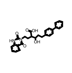 O=C(O)C(CCn1c(=O)[nH]c2ccccc2c1=O)C(O)CCc1ccc(-c2ccccc2)cc1